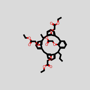 CCCC1c2cccc(c2OCC(=O)OCC)Cc2cccc(c2OCC(=O)OCC)Cc2cccc(c2OCC(=O)OCC)Cc2cccc1c2OCC(=O)OCC